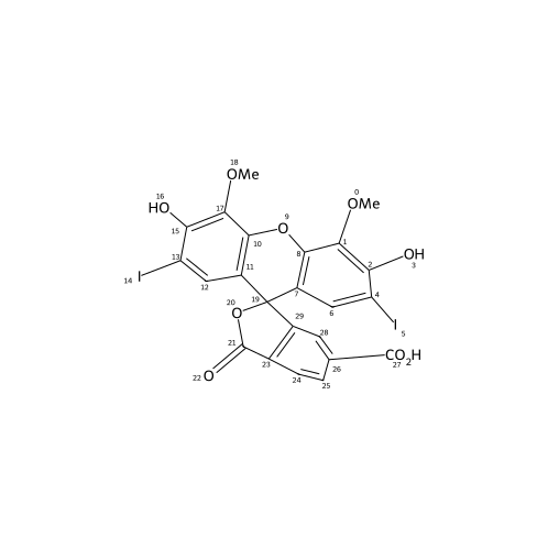 COc1c(O)c(I)cc2c1Oc1c(cc(I)c(O)c1OC)C21OC(=O)c2ccc(C(=O)O)cc21